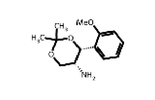 COc1ccccc1[C@H]1OC(C)(C)OC[C@H]1N